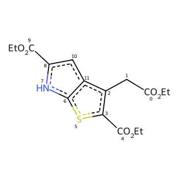 CCOC(=O)Cc1c(C(=O)OCC)sc2[nH]c(C(=O)OCC)cc12